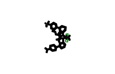 CCCC(C)C1=Cc2c(-c3ccc(C(C)C)cc3)cccc2[CH]1[Zr]([Cl])([Cl])([CH]1C(CC)=Cc2c(-c3ccc([Si](C)(C)C)cc3)cccc21)[SiH](C)C